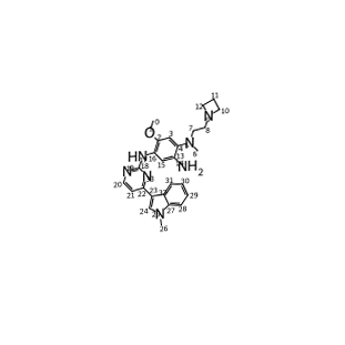 COc1cc(N(C)CCN2CCC2)c(N)cc1Nc1nccc(-c2cn(C)c3ccccc23)n1